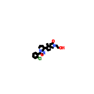 C=C1/C(=C(\C=C/C)c2noc(-c3ccccc3Cl)n2)CC[C@@]12CC(=O)N(CCO)C2